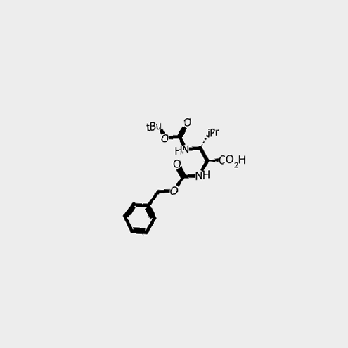 CC(C)[C@@H](NC(=O)OC(C)(C)C)[C@H](NC(=O)OCc1ccccc1)C(=O)O